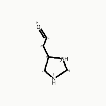 O=CCC1CNCN1